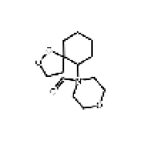 O=C[N+]1(C2CCCCC23CCOO3)CCOCC1